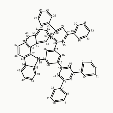 c1ccc(-c2cc(-c3ccccc3)nc(-c3cc(-c4nc(-c5ccccc5)cc(-c5ccccc5)n4)cc(-n4c5ccccc5c5ccc6sc7ccccc7c6c54)c3)n2)cc1